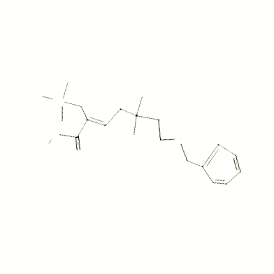 CC(C)(C/C=C(\[CH2][Sn]([CH3])([CH3])[CH3])C(=O)OC(C)(C)C)CCOCc1ccccc1